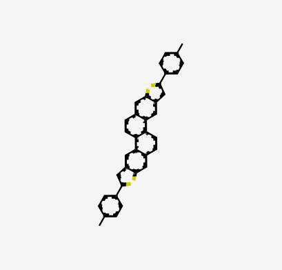 Cc1ccc(-c2cc3cc4c(ccc5c6cc7cc(-c8ccc(C)cc8)sc7cc6ccc45)cc3s2)cc1